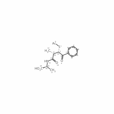 CC(=O)S[C@H](C(=O)c1ccccc1)[C@@H](C)C(=O)N[C@@H](C)C(=O)O